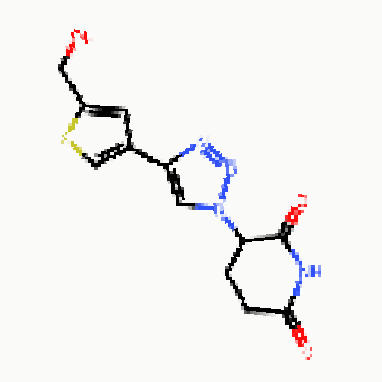 O=C1CCC(n2cc(-c3csc(CO)c3)nn2)C(=O)N1